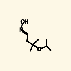 CC(C)OC(C)(C)CC=NO